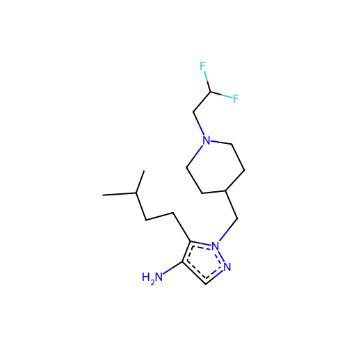 CC(C)CCc1c(N)cnn1CC1CCN(CC(F)F)CC1